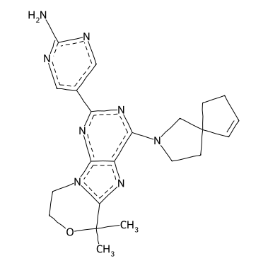 CC1(C)OCCn2c1nc1c(N3CCC4(C=CCC4)C3)nc(-c3cnc(N)nc3)nc12